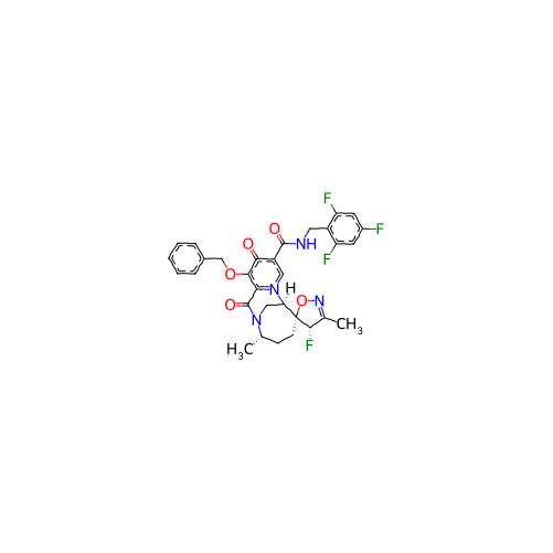 CC1=NO[C@@]2(CC[C@H](C)N3C[C@H]2n2cc(C(=O)NCc4c(F)cc(F)cc4F)c(=O)c(OCc4ccccc4)c2C3=O)[C@H]1F